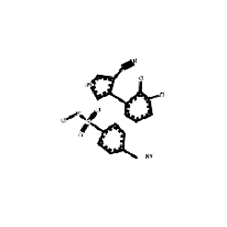 Cc1ccc(S(=O)(=O)[N-]Cl)cc1.N#Cc1c[nH]cc1-c1cccc(Cl)c1Cl.[Na+]